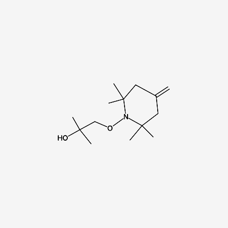 C=C1CC(C)(C)N(OCC(C)(C)O)C(C)(C)C1